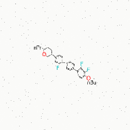 CCCCOc1ccc(-c2ccc(-c3ccc(C4CCC(CCC)OC4)cc3F)cc2)c(F)c1F